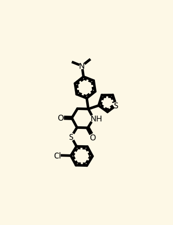 CN(C)c1ccc(C2(c3ccsc3)CC(=O)C(Sc3ccccc3Cl)C(=O)N2)cc1